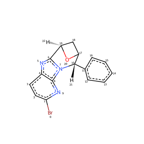 Brc1ccc2nc3n(c2n1)[C@@H](c1ccccc1)C1C[C@H]3O1